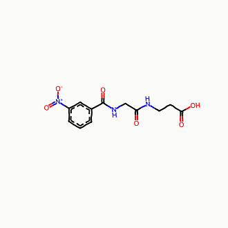 O=C(O)CCNC(=O)CNC(=O)c1cccc([N+](=O)[O-])c1